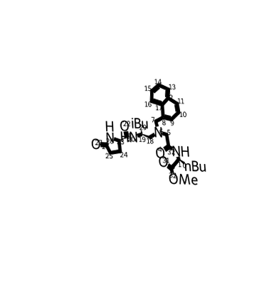 CCCC[C@H](NC(=O)CN(Cc1cccc2ccccc12)C[C@@H](NC(=O)[C@@H]1CCC(=O)N1)[C@@H](C)CC)C(=O)OC